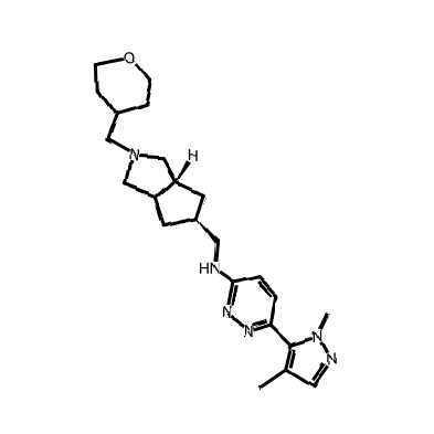 Cc1cnn(C)c1-c1ccc(NC[C@H]2CC3CN(CC4CCOCC4)C[C@@H]3C2)nn1